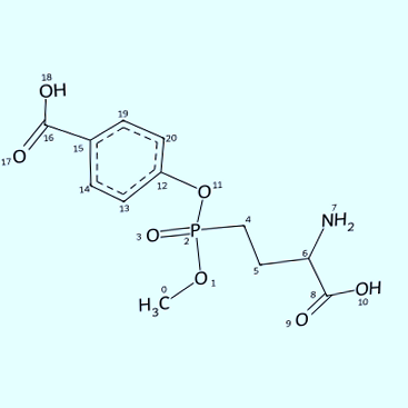 COP(=O)(CCC(N)C(=O)O)Oc1ccc(C(=O)O)cc1